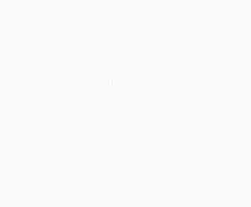 Fc1cccc([C@@H]2CO2)c1F